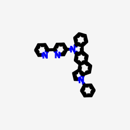 c1ccc(-n2ccc3c4cc5c(cc4ccc32)c2ccccc2n5-c2ccc(-c3ccccn3)nc2)cc1